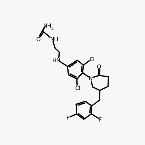 NC(=O)NCCNc1cc(Cl)c(N2CC(Cc3ccc(F)cc3F)CCC2=O)c(Cl)c1